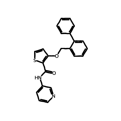 O=C(Nc1cccnc1)c1sccc1OCc1ccccc1-c1ccccc1